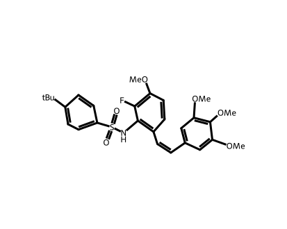 COc1ccc(/C=C\c2cc(OC)c(OC)c(OC)c2)c(NS(=O)(=O)c2ccc(C(C)(C)C)cc2)c1F